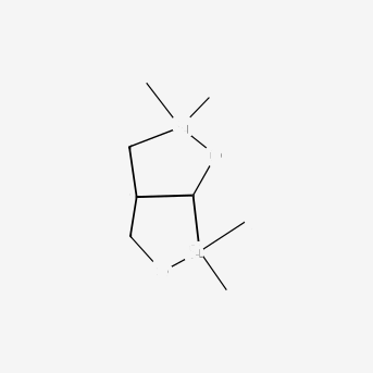 C[Si]1(C)CC2CO[Si](C)(C)C2O1